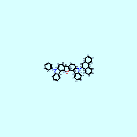 c1ccc(-n2c3ccccc3c3c4oc5c(ccc6c5c5ccccc5n6-c5cc6ccccc6c6ccccc56)c4ccc32)cc1